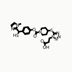 Cn1ccnc1C(S)c1ccc(OC(=O)N2CCC(Sc3nnnn3CCC(=O)O)CC2)cc1